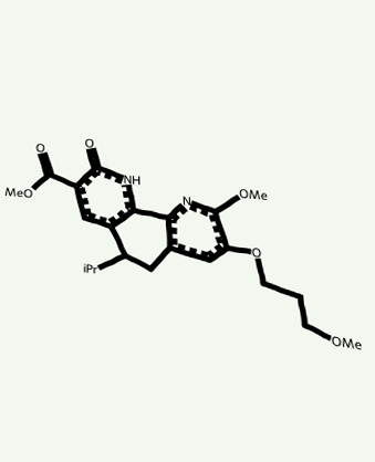 COCCCOc1cc2c(nc1OC)-c1[nH]c(=O)c(C(=O)OC)cc1C(C(C)C)C2